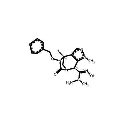 CN(N)/C(=N\O)[C@@H]1c2c(cnn2C)[C@@H]2CN1C(=O)N2OCc1ccccc1